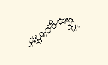 COC(=O)NC(C(=O)N1C(C)CCC1c1ncc(-c2ccc(-c3ccc(-c4ccc5[nH]c(C6CCC(C)N6C(=O)C(NC(=O)OC)C(C)C)nc5c4)c4c3[C@H]3CCC4C3)cc2)[nH]1)C(C)C